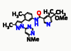 CNc1cc(-n2nc(C)cc2-c2cc(NC(=O)c3cncc(C(C)(C)OC)c3)ccc2C)ncn1